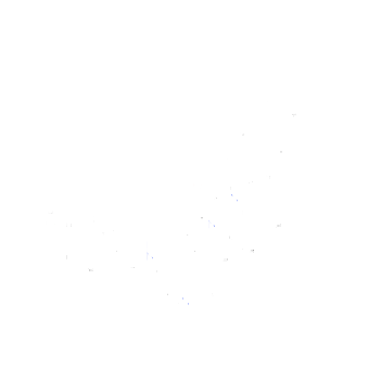 O=C(Nc1cnccc1CN1C(=O)N(c2ccc(OC(F)(F)F)cc2)C(=O)C12CC2)c1ccc(Cl)cc1